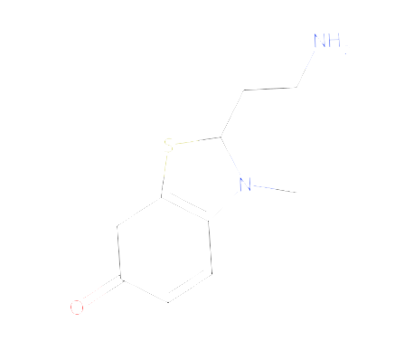 CN1C2=C(CC(=O)C=C2)SC1CCN